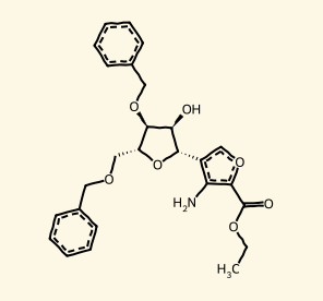 CCOC(=O)c1occ([C@@H]2O[C@H](COCc3ccccc3)[C@@H](OCc3ccccc3)[C@H]2O)c1N